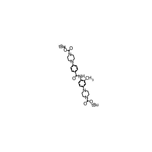 Cc1cc(N2CCN(C(=O)OC(C)(C)C)CC2)ccc1NC(=O)c1ccc(N2CCN(C(=O)OC(C)(C)C)CC2)cc1